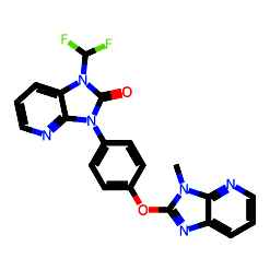 Cn1c(Oc2ccc(-n3c(=O)n(C(F)F)c4cccnc43)cc2)nc2cccnc21